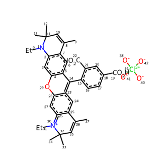 CCN1c2cc3c(cc2C(C)=CC1(C)C)C(c1ccc(C(=O)O)cc1C(=O)O)=c1cc2c(cc1O3)=[N+](CC)C(C)(C)C=C2C.[O-][Cl+3]([O-])([O-])[O-]